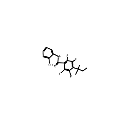 CCC(C)(C)c1c(F)c(F)c(C(=O)Nc2ccccc2O)c(F)c1F